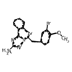 COc1ccc(Cc2nc3ccccc3c3nc(N)nn23)cc1Br